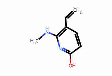 C=Cc1ccc(O)nc1NC